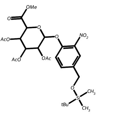 COC(=O)C1OC(Oc2ccc(CO[Si](C)(C)C(C)(C)C)cc2[N+](=O)[O-])C(OC(C)=O)C(OC(C)=O)C1OC(C)=O